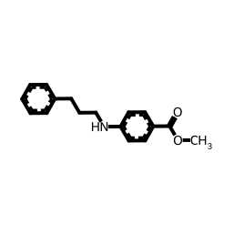 COC(=O)c1ccc(NCCCc2ccccc2)cc1